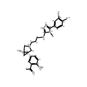 CC(=O)c1cc([C@]23C[C@H]2CN(CCCSc2nnc(-c4ccc(F)c(F)c4)n2C)C3)ccc1O